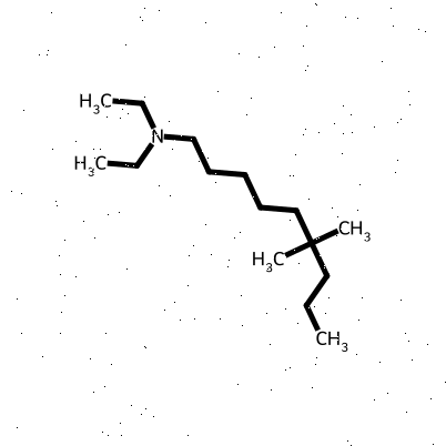 CCCC(C)(C)CCCCCN(CC)CC